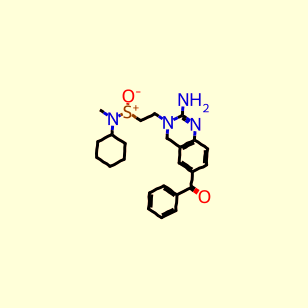 CN(C1CCCCC1)[S+]([O-])CCN1Cc2cc(C(=O)c3ccccc3)ccc2N=C1N